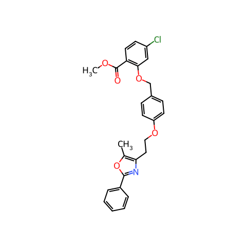 COC(=O)c1ccc(Cl)cc1OCc1ccc(OCCc2nc(-c3ccccc3)oc2C)cc1